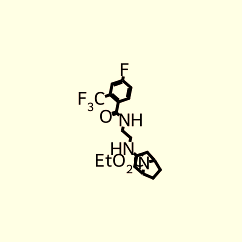 CCOC(=O)N1C2CCC1CC(NCCNC(=O)c1ccc(F)cc1C(F)(F)F)C2